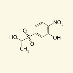 CC(O)S(=O)(=O)c1ccc([N+](=O)[O-])c(O)c1